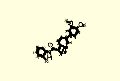 COc1ccc(-c2ccc3c(C(=O)Nc4ccccc4C)cnn3c2)cc1OC